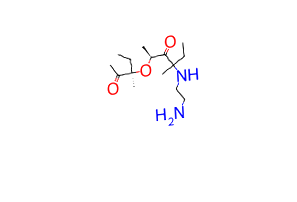 CCC(C)(NCCN)C(=O)[C@H](C)O[C@](C)(CC)C(C)=O